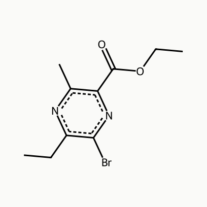 CCOC(=O)c1nc(Br)c(CC)nc1C